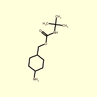 CC(C)(C)NC(=O)OCC1CCC(N)CC1